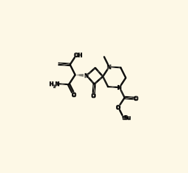 C=C(O)[C@@H](C(N)=O)N1CC2(CN(C(=O)OC(C)(C)C)CCN2C)C1=O